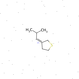 CC(C)/C=C1/CCSC1